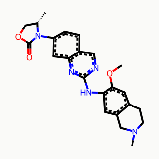 COc1cc2c(cc1Nc1ncc3ccc(N4C(=O)OC[C@@H]4C)cc3n1)CN(C)CC2